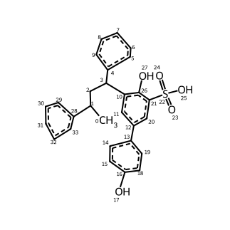 CC(CC(c1ccccc1)c1cc(-c2ccc(O)cc2)cc(S(=O)(=O)O)c1O)c1ccccc1